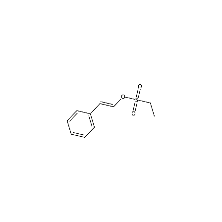 CCS(=O)(=O)OC=Cc1ccccc1